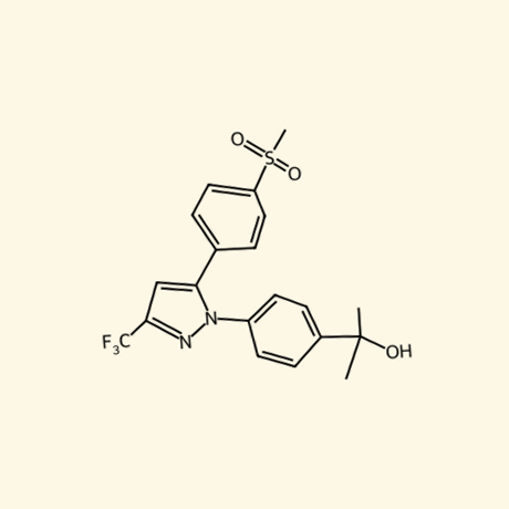 CC(C)(O)c1ccc(-n2nc(C(F)(F)F)cc2-c2ccc(S(C)(=O)=O)cc2)cc1